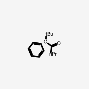 CCCC(=O)OC(C)(C)C.c1ccccc1